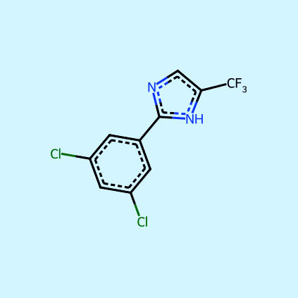 FC(F)(F)c1cnc(-c2cc(Cl)cc(Cl)c2)[nH]1